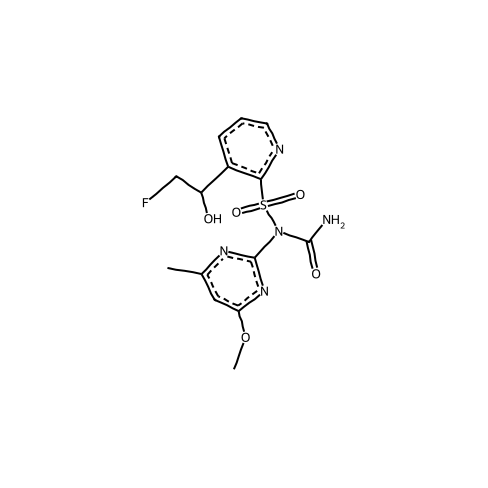 COc1cc(C)nc(N(C(N)=O)S(=O)(=O)c2ncccc2C(O)CF)n1